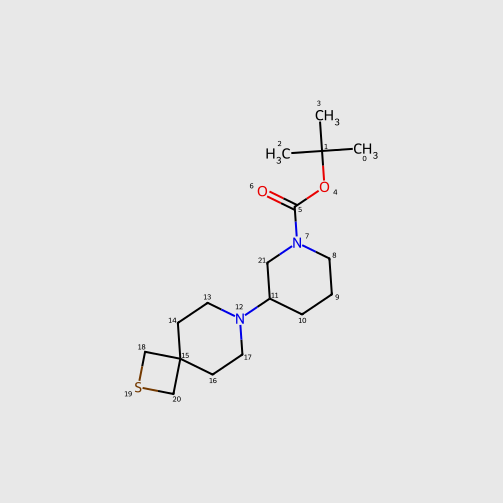 CC(C)(C)OC(=O)N1CCCC(N2CCC3(CC2)CSC3)C1